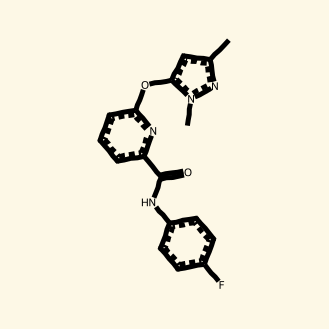 Cc1cc(Oc2cccc(C(=O)Nc3ccc(F)cc3)n2)n(C)n1